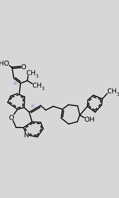 Cc1ccc(C2(O)CCC=C(CC/C=C3/c4cc(/C(=C/C(=O)O)C(C)C)ccc4OCc4ncccc43)CC2)cc1